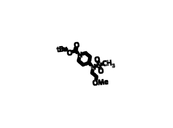 COCCN(C1CCN(C(=O)OC(C)(C)C)CC1)S(C)(=O)=O